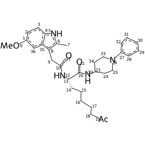 COc1ccc2[nH]c(C)c(CC(=O)N[C@@H](CCCCCC(C)=O)C(=O)NC3CCN(c4ccccc4)CC3)c2c1